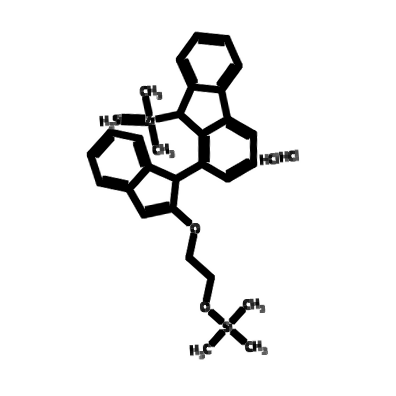 C[Si](C)(C)OCCOC1=Cc2ccccc2C1c1cccc2c1[CH]([Zr]([CH3])([CH3])=[SiH2])c1ccccc1-2.Cl.Cl